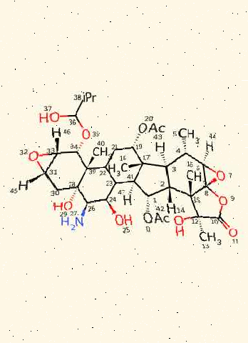 CC(=O)O[C@H]1[C@@H]2[C@H]([C@H](C)[C@H]3O[C@]34OC(=O)[C@@](C)(O)[C@]24C)[C@@]2(C)[C@@H](OC(C)=O)CC3C([C@@H](O)[C@@H](N)[C@@]4(O)C[C@@H]5O[C@@H]5[C@H](OC(O)C(C)C)[C@]34C)[C@H]12